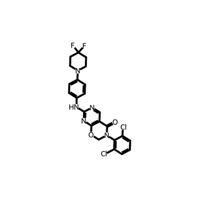 O=C1c2cnc(Nc3ccc(N4CCC(F)(F)CC4)cc3)nc2OCN1c1c(Cl)cccc1Cl